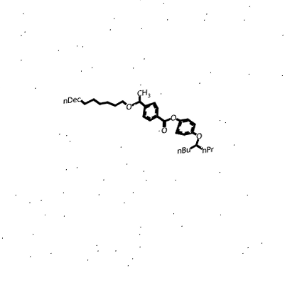 CCCCCCCCCCCCCCCCOC(C)c1ccc(C(=O)Oc2ccc(OC(CCC)CCCC)cc2)cc1